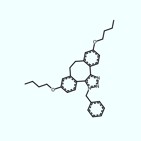 CCCCOc1ccc2c(c1)CCc1cc(OCCCC)ccc1-c1c-2nnn1Cc1ccccc1